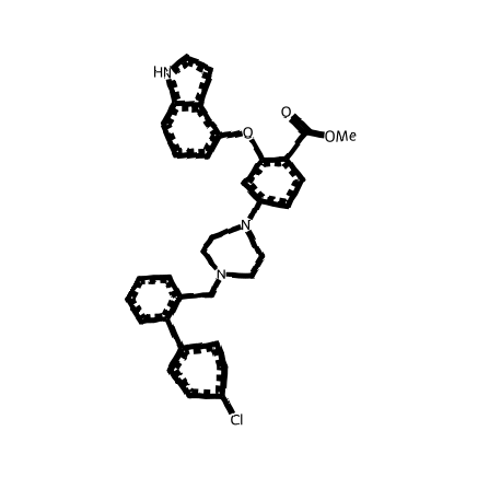 COC(=O)c1ccc(N2CCN(Cc3ccccc3-c3ccc(Cl)cc3)CC2)cc1Oc1cccc2[nH]ccc12